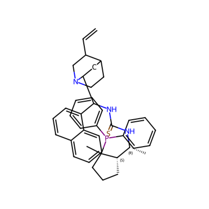 C=CC1CN2CCC1CC2C(NC(=S)N[C@H](C)[C@@H]1CCCC1(C)P(c1ccccc1)c1ccccc1)c1cccc2ccccc12